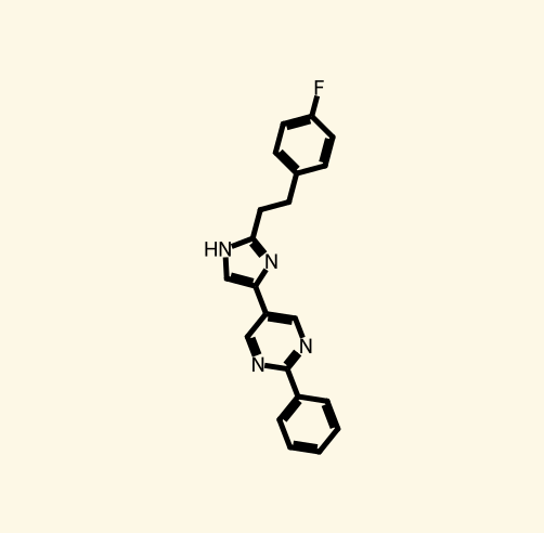 Fc1ccc(CCc2nc(-c3cnc(-c4ccccc4)nc3)c[nH]2)cc1